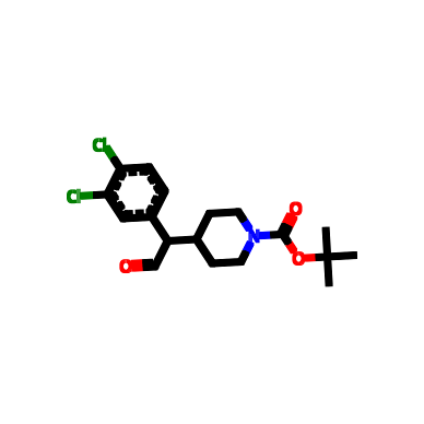 CC(C)(C)OC(=O)N1CCC(C(C=O)c2ccc(Cl)c(Cl)c2)CC1